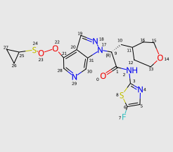 O=C(Nc1ncc(F)s1)[C@@H](CC1CCOCC1)n1ncc2c(OOSC3CC3)cncc21